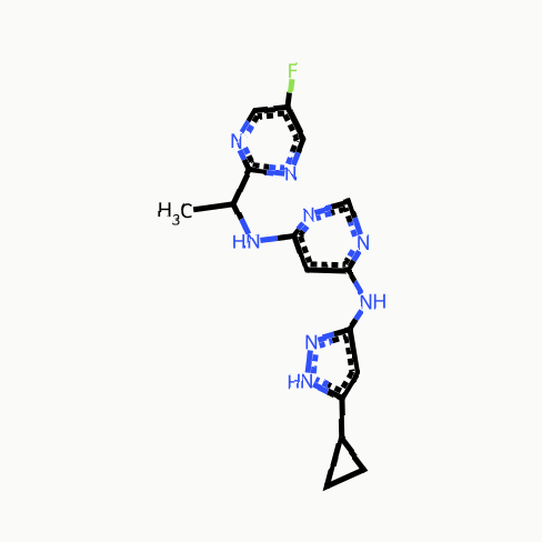 CC(Nc1cc(Nc2cc(C3CC3)[nH]n2)ncn1)c1ncc(F)cn1